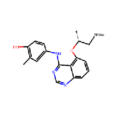 CC(=O)NC[C@@H](C)Oc1cccc2ncnc(Nc3ccc(O)c(C)c3)c12